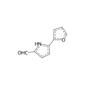 O=Cc1ccc(-c2ccco2)[nH]1